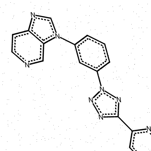 c1ccc(-c2nnn(-c3cccc(-n4cnc5ccncc54)c3)n2)nc1